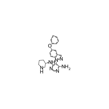 Nc1ncnc(N[C@@H]2CCCNC2)c1-n1ncc2cc(Oc3ccccc3)ccc21